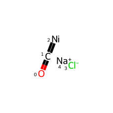 O=[C]=[Ni].[Cl-].[Na+]